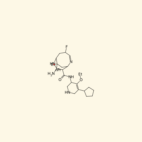 CCCC1(CC)CC2/N=C\C(F)CC1NC(N)C2C(=O)NC1CNCC(C2CCCC2)=C1OCC